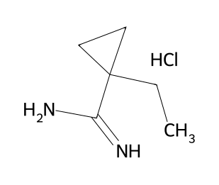 CCC1(C(=N)N)CC1.Cl